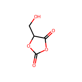 O=C1OC(=O)C(CO)O1